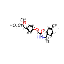 CCO[C@@H](Cc1ccc(OCC(=O)NC(CC)c2ccc(C(F)(F)F)cc2)cc1)C(=O)O